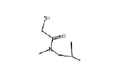 CC(C)CN(C)C(=O)CS